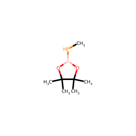 CPB1OC(C)(C)C(C)(C)O1